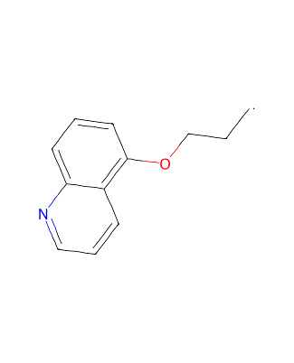 [CH2]CCOc1cccc2ncccc12